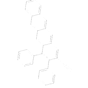 C#Cc1cc2cc3cc4ccccc4cc3cc2c(-c2ccccc2)c1-c1ccccc1